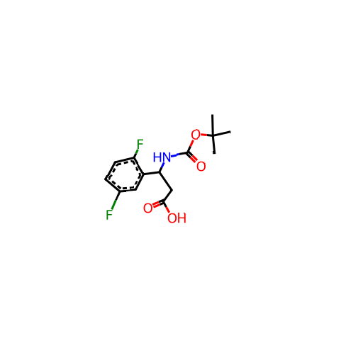 CC(C)(C)OC(=O)NC(CC(=O)O)c1cc(F)ccc1F